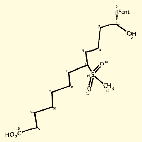 CCCCC[C@H](O)CCCC(CCCCCCC(=O)O)S(C)(=O)=O